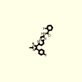 Cc1nc(-c2ccc(F)cc2)c(-c2ccc3nc(NC(=O)c4ccccc4F)cn3n2)n1C